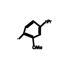 [CH2]c1ccc(CCC)cc1OC